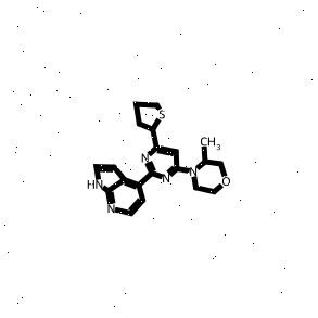 CC1COCCN1c1cc(C2CCCS2)nc(-c2ccnc3[nH]ccc23)n1